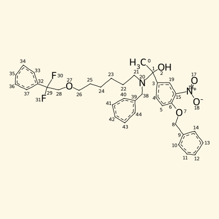 CC(O)(c1ccc(OCc2ccccc2)c([N+](=O)[O-])c1)N(CCCCCCOCC(F)(F)c1ccccc1)Cc1ccccc1